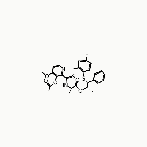 COc1ccnc(C(=S)N[C@@H](C)C(=O)O[C@@H](C)[C@H](Sc2ccc(F)cc2C)c2ccccc2)c1OC(C)=O